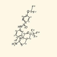 NC1=NC2(c3cc(NC(=O)c4ccc(OC(F)F)cn4)ccc3F)COC(C(F)(F)F)CC2CS1